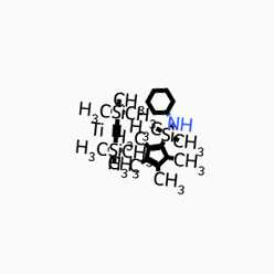 CC1=C(C)C(C)C([Si](C)(C)NC2CCCCC2)=C1C.C[Si](C)(C)C#C[Si](C)(C)C.[Ti]